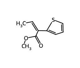 CC=C(C(=O)OC)c1cccs1